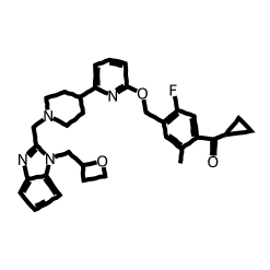 Cc1cc(COc2cccc(C3CCN(Cc4nc5ccccc5n4CC4CCO4)CC3)n2)c(F)cc1C(=O)C1CC1